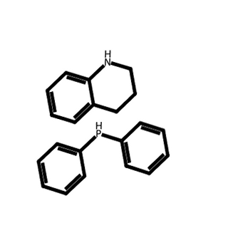 c1ccc(Pc2ccccc2)cc1.c1ccc2c(c1)CCCN2